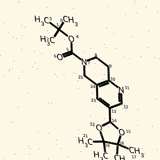 CC(C)(C)OC(=O)N1CCc2ncc(C3OC(C)(C)C(C)(C)O3)cc2C1